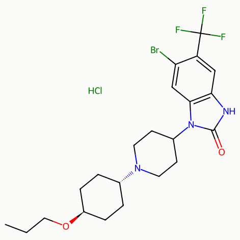 CCCO[C@H]1CC[C@H](N2CCC(n3c(=O)[nH]c4cc(C(F)(F)F)c(Br)cc43)CC2)CC1.Cl